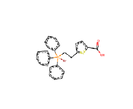 O=C(O)c1ccc(CCP(Br)(c2ccccc2)(c2ccccc2)c2ccccc2)s1